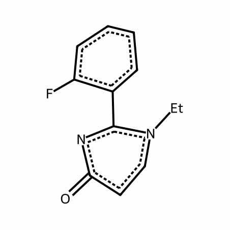 CCn1ccc(=O)nc1-c1ccccc1F